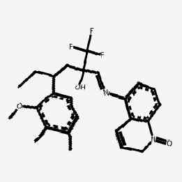 CCC(CC(O)(C=Nc1cccc2c1C=CC[N+]2=O)C(F)(F)F)c1ccc(C)c(C)c1OC